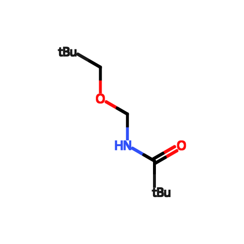 CC(C)(C)COCNC(=O)C(C)(C)C